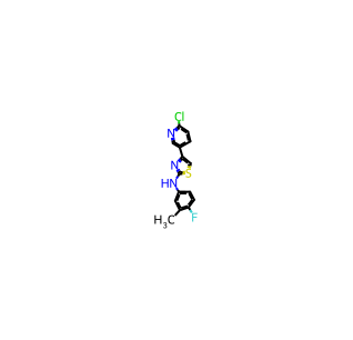 Cc1cc(Nc2nc(-c3ccc(Cl)nc3)cs2)ccc1F